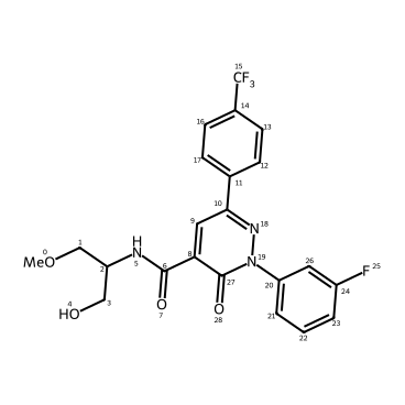 COCC(CO)NC(=O)c1cc(-c2ccc(C(F)(F)F)cc2)nn(-c2cccc(F)c2)c1=O